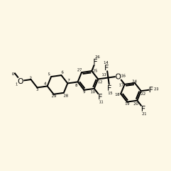 COCCC1CCC(c2cc(F)c(C(F)(F)Oc3ccc(F)c(F)c3)c(F)c2)CC1